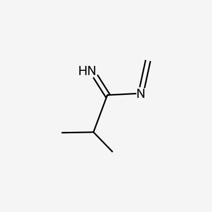 C=NC(=N)C(C)C